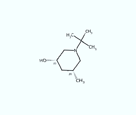 C[C@@H]1C[C@H](O)CN(C(C)(C)C)C1